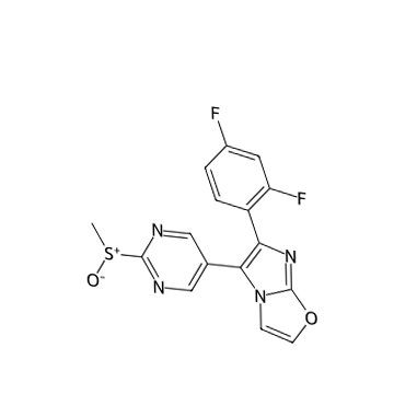 C[S+]([O-])c1ncc(-c2c(-c3ccc(F)cc3F)nc3occn23)cn1